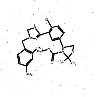 COc1ccc(CN2CNC(c3cc(C4COC(C)(C)N4C(=O)OC(C)(C)C)ccc3Cl)=N2)c(OC)c1